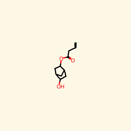 C=CCC(=O)OC1CC2CC1CC2O